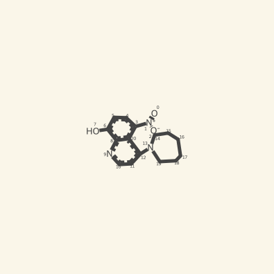 O=[N+]([O-])c1ccc(O)c2nccc(N3CCCCCC3)c12